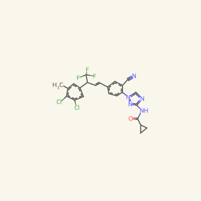 Cc1cc(C(/C=C/c2ccc(-n3cnc(NC(=O)C4CC4)n3)c(C#N)c2)C(F)(F)F)cc(Cl)c1Cl